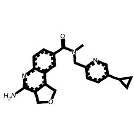 CN(Cc1ccc(C2CC2)cn1)C(=O)c1ccc2nc(N)c3c(c2c1)COC3